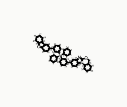 c1ccc([Si](c2ccccc2)(c2cccc(-c3ccc4c(c3)nc3n4-c4ccccc4CO3)c2)c2cccc(-c3ccc4oc5ccccc5c4c3)c2)cc1